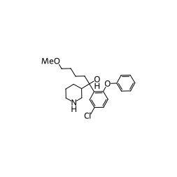 COCCCCC(O)(c1cc(Cl)ccc1Oc1ccccc1)C1CCCNC1